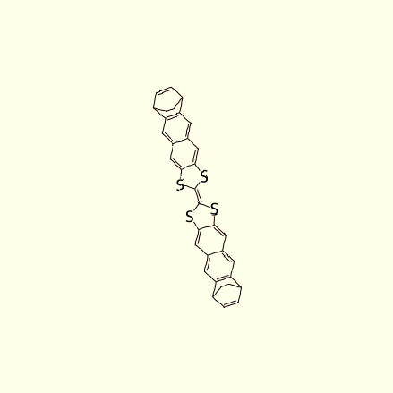 C1=CC2CCC1c1cc3cc4c(cc3cc12)SC(=C1Sc2cc3cc5c(cc3cc2S1)C1C=CC5CC1)S4